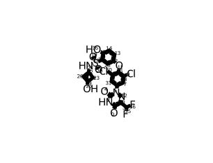 O=c1[nH]c(=O)n(-c2cc(Cl)c(Oc3ccc(O)c(S(=O)(=O)NC45CC(O)(C4)C5)c3)c(Cl)c2)nc1C(F)F